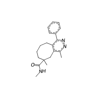 CNC(=O)C1(C)CCCCc2c(-c3ccccc3)nnc(C)c2C1